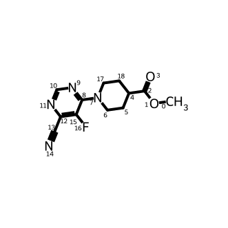 COC(=O)C1CCN(c2ncnc(C#N)c2F)CC1